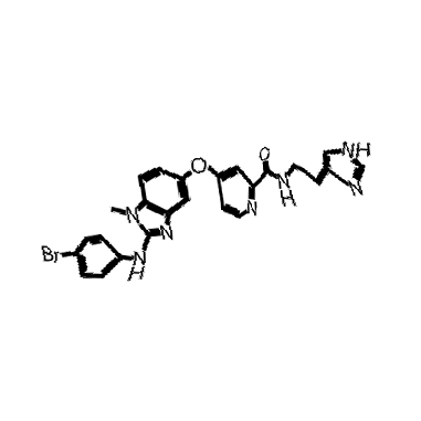 Cn1c(Nc2ccc(Br)cc2)nc2cc(Oc3ccnc(C(=O)NCCc4c[nH]cn4)c3)ccc21